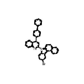 Brc1ccc2c(c1)c1c3ccccc3ccc1n2-c1cc(-c2ccc(-c3ccccc3)cc2)c2ccccc2n1